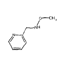 CONCc1ccccn1